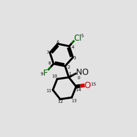 O=NC1(c2cc(Cl)ccc2F)CCCCC1=O